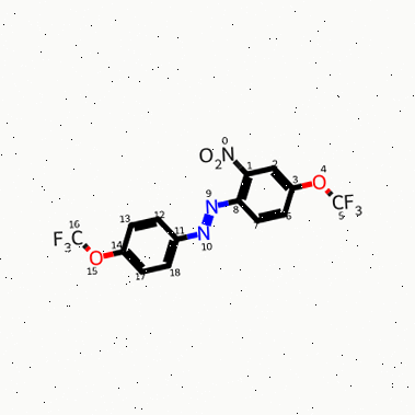 O=[N+]([O-])c1cc(OC(F)(F)F)ccc1/N=N/c1ccc(OC(F)(F)F)cc1